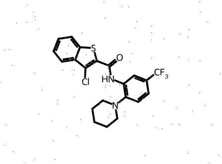 O=C(Nc1cc(C(F)(F)F)ccc1N1CCCCC1)c1sc2ccccc2c1Cl